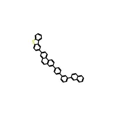 c1cc(-c2ccc(-c3ccc4c(ccc5cc(-c6ccc7sc8ccccc8c7c6)ccc54)c3)cc2)cc(-c2ccc3ccccc3c2)c1